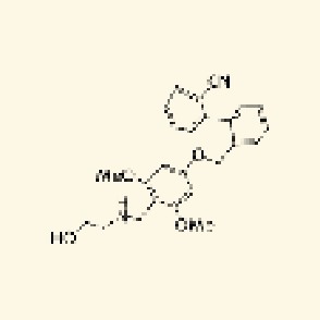 COc1cc(OCc2ccccc2-c2ccccc2C#N)cc(OC)c1CNCCO